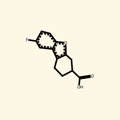 O=C(O)C1CCc2c(oc3ccc(F)cc23)C1